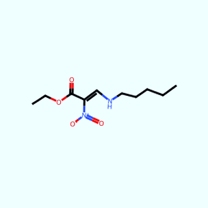 CCCCCNC=C(C(=O)OCC)[N+](=O)[O-]